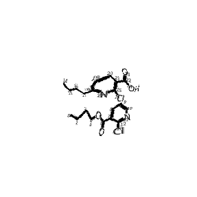 CCCCOC(=O)c1cccnc1Cl.CCCCc1ccc(C(=O)O)c(Cl)n1